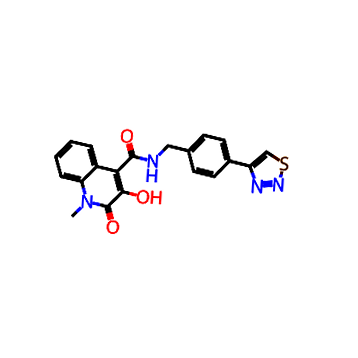 Cn1c(=O)c(O)c(C(=O)NCc2ccc(-c3csnn3)cc2)c2ccccc21